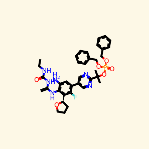 C=C(NC(=O)NCC)Nc1c(N)cc(-c2cnc(C(C)(C)OP(=O)(OCc3ccccc3)OCc3ccccc3)nc2)c(F)c1[C@H]1CCCO1